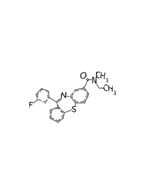 CCN(C)C(=O)c1ccc2c(c1)N=C(c1cccc(F)c1)c1ccccc1S2